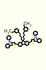 C=Cc1cccc(CCCCC2(CCCCc3cccc(C=C)c3)c3cc(C4=CC5C(S4)c4ccccc4N5c4ccccc4)ccc3-c3ccc(-c4cc5c(s4)c4ccccc4n5-c4ccccc4)cc32)c1